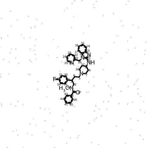 CN(CC(CCN1CCC(Nc2nc3ccccc3n2Cc2ccccn2)CC1)c1ccc(F)cc1)C(=O)c1ccccc1